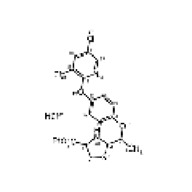 CCOC(=O)[C@@H]1CSC(C(C)Oc2ccc(Oc3ncc(Cl)cc3Cl)cc2)N1.Cl